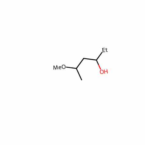 CCC(O)CC(C)OC